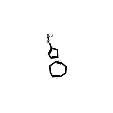 C1=C\CC/C=C\CC/1.C[C](C)(C)[Ir][C]1=CC=CC1